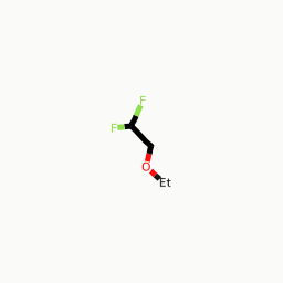 CCOCC(F)F